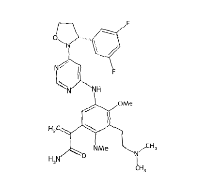 C=C(C(N)=O)c1cc(Nc2cc(N3OCC[C@@H]3c3cc(F)cc(F)c3)ncn2)c(OC)c(CCN(C)C)c1NC